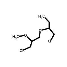 CCC(CCl)OCC(CCl)OC